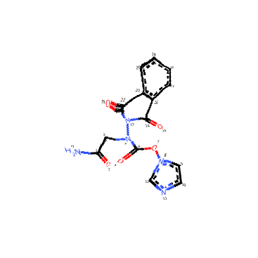 NC(=O)CN(C(=O)On1ccnc1)N1C(=O)c2ccccc2C1=O